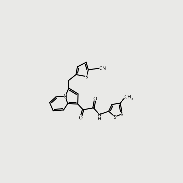 Cc1cc(NC(=O)C(=O)c2cc(Cc3ccc(C#N)s3)n3ccccc23)sn1